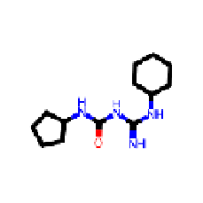 N=C(NC(=O)NC1CCCC1)NC1CCCCC1